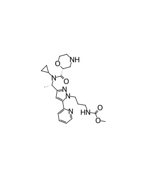 COC(=O)NCCCn1nc([C@H](C)N(C(=O)[C@H]2CNCCO2)C2CC2)cc1-c1ccccn1